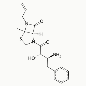 C=CCN1C(=O)[C@H]2N(C(=O)[C@@H](O)[C@@H](N)Cc3ccccc3)CSC21C